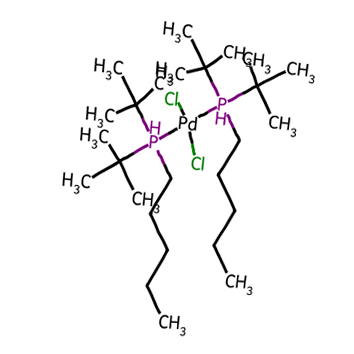 CCCCC[PH](C(C)(C)C)(C(C)(C)C)[Pd]([Cl])([Cl])[PH](CCCCC)(C(C)(C)C)C(C)(C)C